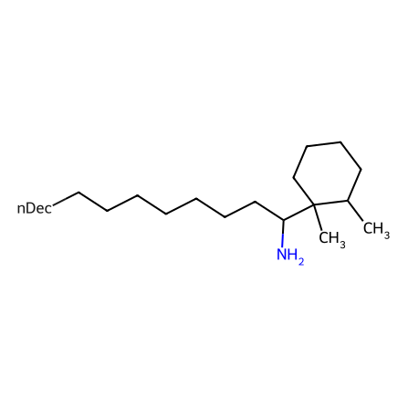 CCCCCCCCCCCCCCCCCC(N)C1(C)CCCCC1C